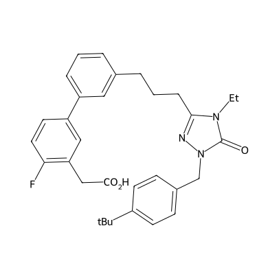 CCn1c(CCCc2cccc(-c3ccc(F)c(CC(=O)O)c3)c2)nn(Cc2ccc(C(C)(C)C)cc2)c1=O